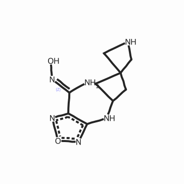 N/C(=N\O)c1nonc1NC1CC2(CNC2)C1